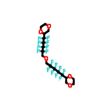 FC(F)(COCC(F)(F)C(F)(F)C(F)(F)C(F)(F)C1COCCO1)C(F)(F)C(F)(F)C(F)(F)C1COCCO1